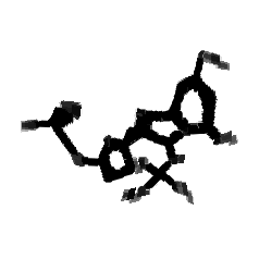 Cc1cc(C)n2c(NC(C)(C)C)c(-c3ccc(OC(=O)O)o3)nc2c1